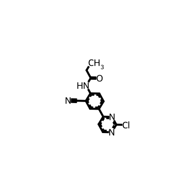 CCC(=O)Nc1ccc(-c2ccnc(Cl)n2)cc1C#N